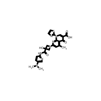 Cc1cc(N2CC(O)(C(=O)Nc3ccc(N(C)C)cn3)C2)nc2c1c(=O)c(C(=O)O)cn2-c1nccs1